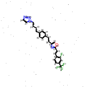 Fc1cc(C(F)(F)F)ccc1/C=C/c1nc(/C=C/c2ccc(CCCCn3ccnn3)cc2)co1